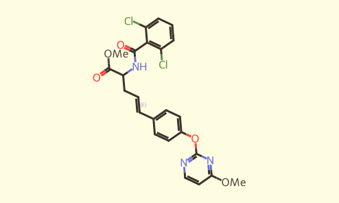 COC(=O)C(C/C=C/c1ccc(Oc2nccc(OC)n2)cc1)NC(=O)c1c(Cl)cccc1Cl